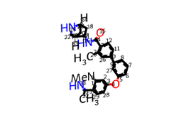 CNc1cc(Oc2cccc(-c3ccc(C(=O)N[C@@H]4C[C@H]5C[C@@H]4CN5)c(C)c3)c2)ccc1C(C)=N